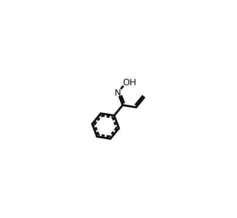 C=CC(=NO)c1ccccc1